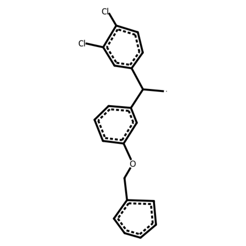 [CH2]C(c1cccc(OCc2ccccc2)c1)c1ccc(Cl)c(Cl)c1